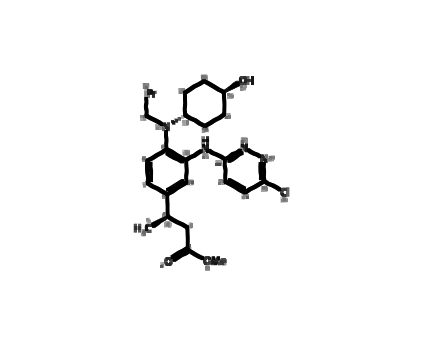 COC(=O)C[C@@H](C)c1ccc(N(CC(C)C)[C@H]2CC[C@H](O)CC2)c(Nc2ccc(Cl)nn2)c1